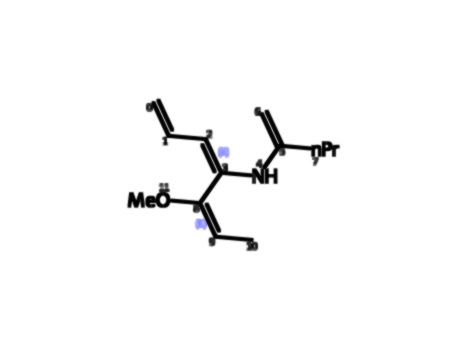 C=C/C=C(NC(=C)CCC)\C(=C/C)OC